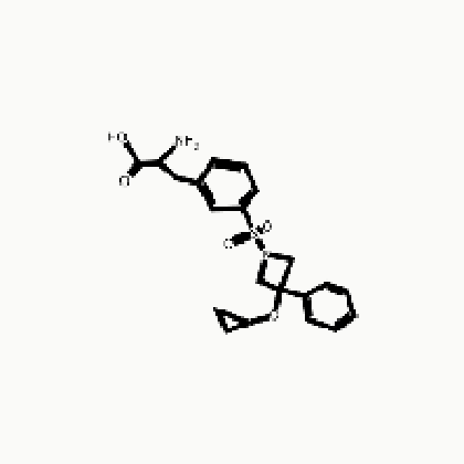 NC(Cc1cccc(S(=O)(=O)N2CC(OC3CC3)(c3ccccc3)C2)c1)C(=O)O